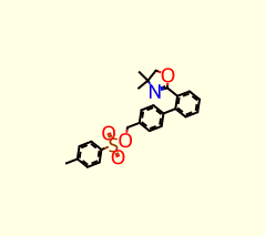 Cc1ccc(S(=O)(=O)OCc2ccc(-c3ccccc3C3=NC(C)(C)CO3)cc2)cc1